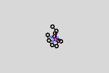 c1ccc(-c2cccc(-c3cc(-c4cccc(-c5ccccc5)c4)cc(-n4c5ccccc5c5ccc6c7ccccc7n(-c7nc(-c8ccccc8)nc(-c8ccccc8)n7)c6c54)c3)c2)cc1